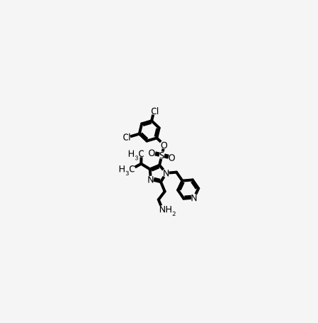 CC(C)c1nc(CCN)n(Cc2ccncc2)c1S(=O)(=O)Oc1cc(Cl)cc(Cl)c1